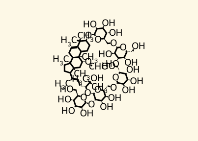 C[C@H](CC[C@@H](O[C@@H]1O[C@H](CO[C@@H]2O[C@H](CO)[C@@H](O)[C@H](O)[C@H]2O)[C@@H](O)[C@H](O)[C@H]1O[C@@H]1O[C@H](CO)[C@@H](O)[C@H](O)[C@H]1O)C(C)(C)O)C1CC[C@@]2(C)C3CC=C4C(CC[C@H](O[C@@H]5O[C@H](CO[C@@H]6O[C@H](CO)[C@@H](O)[C@H](O)[C@H]6O)[C@@H](O)[C@H](O)[C@H]5O)C4(C)C)[C@]3(C)[C@H](OC=O)C[C@]12C